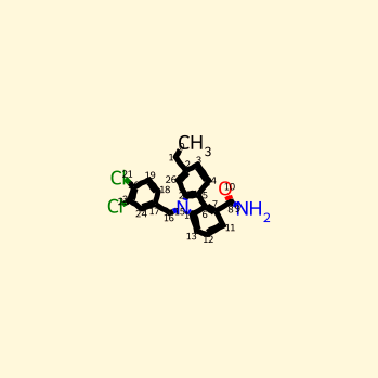 CCc1c[c]c2c3c(C(N)=O)cccc3n(Cc3ccc(Cl)c(Cl)c3)c2c1